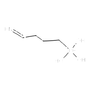 N=CCCC[PH](O)(O)O